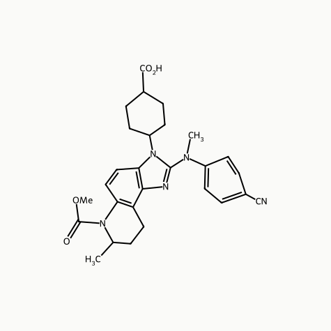 COC(=O)N1c2ccc3c(nc(N(C)c4ccc(C#N)cc4)n3C3CCC(C(=O)O)CC3)c2CCC1C